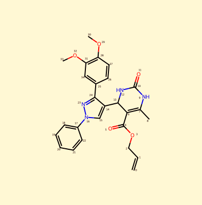 C=CCOC(=O)C1=C(C)NC(=O)NC1c1cn(-c2ccccc2)nc1-c1ccc(OC)c(OC)c1